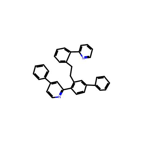 c1ccc(-c2ccnc(-c3ccc(-c4ccccc4)cc3CCc3ccccc3-c3ccccn3)c2)cc1